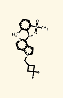 Cc1cccc(S(C)(=O)=O)c1Nc1nccc2c1ccn2CC1CC(F)(F)C1